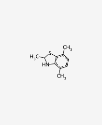 Cc1ccc(C)c2c1NC(C)S2